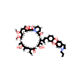 CCCn1ccc2cc(OC3CCC(C=C(C)C4CC(=O)C5CCCCN5C(=O)C(=O)C5(O)CC(C(OC)CC(C)C(O)/C(C)=C/C(CC)C(=O)CC(O)C4C)C(OC)CC5C)CC3O)ccc21